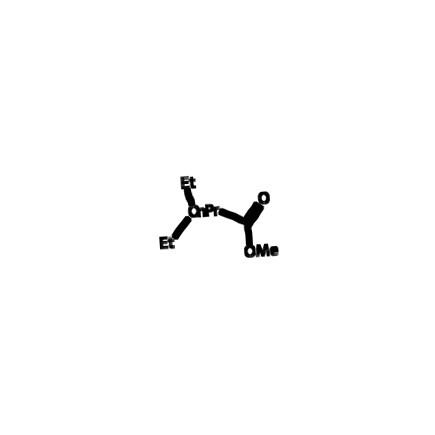 CCCC(=O)OC.CCOCC